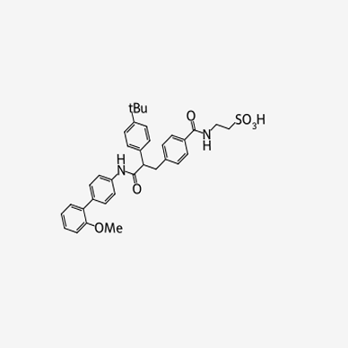 COc1ccccc1-c1ccc(NC(=O)C(Cc2ccc(C(=O)NCCS(=O)(=O)O)cc2)c2ccc(C(C)(C)C)cc2)cc1